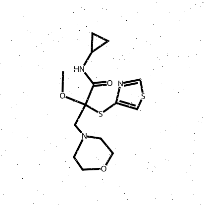 COC(CN1CCOCC1)(Sc1cscn1)C(=O)NC1CC1